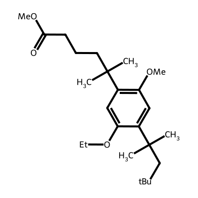 CCOc1cc(C(C)(C)CCCC(=O)OC)c(OC)cc1C(C)(C)CC(C)(C)C